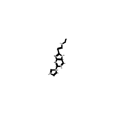 CCOC=Cc1nc2nc(-n3ccnc3)ncc2s1